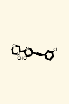 O=CN1CCOCC1c1ccc(C#Cc2cccc(Cl)c2)cn1